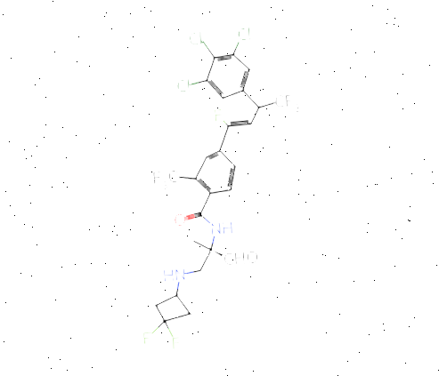 C[C@@](C=O)(CNC1CC(F)(F)C1)NC(=O)c1ccc(/C(F)=C/C(c2cc(Cl)c(Cl)c(Cl)c2)C(F)(F)F)cc1C(F)(F)F